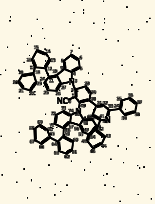 N#Cc1c(-n2c3ccccc3c3c(-c4ccccc4-c4ccccc4)cccc32)ccc(-c2cc(-c3ccccc3)nc(-c3ccccc3)c2)c1-n1c2ccccc2c2c(-c3ccccc3-c3ccccc3)cccc21